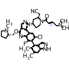 Cc1cc2[nH]ncc2c(-c2c(Cl)cc3c(nc(OC[C@@H]4CCCN4C)c4cnn([C@H]5CCN(C(=O)/C=C/CN(C)C)[C@H](CC#N)C5)c43)c2F)c1C